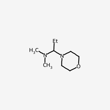 CCC(N(C)C)N1CCOCC1